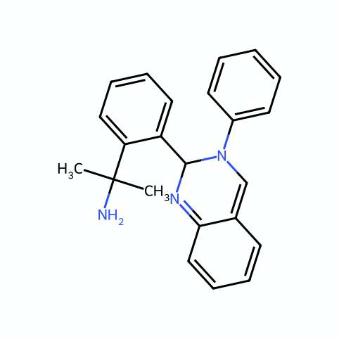 CC(C)(N)c1ccccc1C1N=c2ccccc2=CN1c1ccccc1